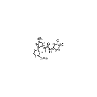 COc1cccc(-n2nc(C(C)(C)C)cc2NC(=O)Nc2ccc(Cl)c(Cl)c2)c1